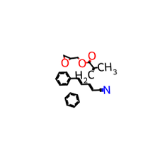 C=C(C)C(=O)OCC1CO1.N#CC=CC=Cc1ccccc1.c1ccccc1